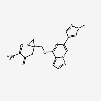 C=C(CC1(COc2nc(-c3cnn(C)c3)cn3nccc23)CC1)C(N)=O